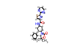 CC1(C)OC(=O)N(C2CCC(NC(=O)c3csc(-c4ncccn4)n3)CC2)[C@H]1c1ccccc1